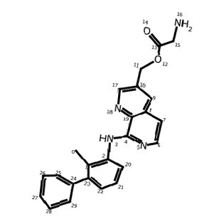 Cc1c(Nc2nccc3cc(COC(=O)CN)cnc23)cccc1-c1ccccc1